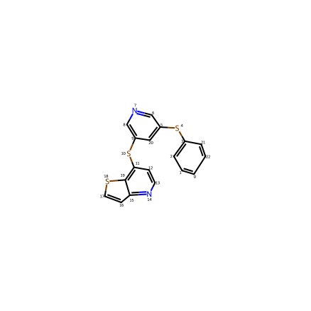 c1ccc(Sc2cncc(Sc3ccnc4ccsc34)c2)cc1